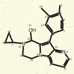 Cc1ccc(-c2c3n(c4cccnc24)CCN(C2CC2)C3O)cc1C